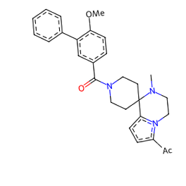 COc1ccc(C(=O)N2CCC3(CC2)c2ccc(C(C)=O)n2CCN3C)cc1-c1ccccc1